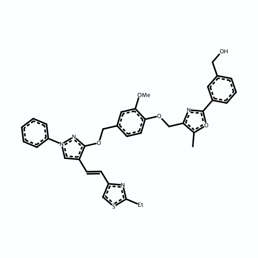 CCc1nc(/C=C/c2cn(-c3ccccc3)nc2OCc2ccc(OCc3nc(-c4cccc(CO)c4)oc3C)c(OC)c2)cs1